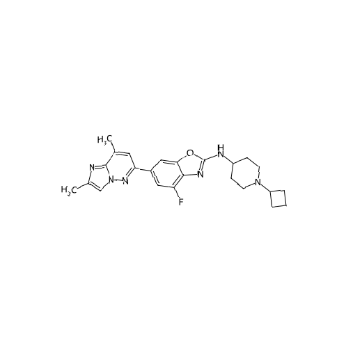 Cc1cn2nc(-c3cc(F)c4nc(NC5CCN(C6CCC6)CC5)oc4c3)cc(C)c2n1